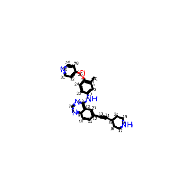 Cc1cc(Nc2ncnc3ccc(C#CC4CCNCC4)cc23)ccc1Oc1ccncc1